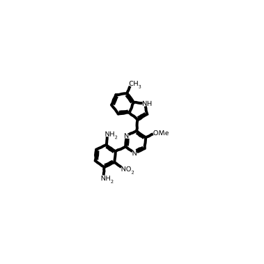 COc1cnc(-c2c(N)ccc(N)c2[N+](=O)[O-])nc1-c1c[nH]c2c(C)cccc12